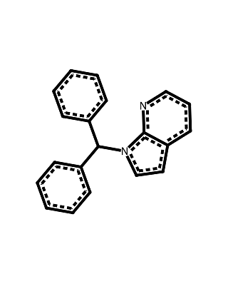 c1ccc(C(c2ccccc2)n2ccc3cccnc32)cc1